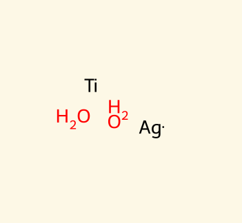 O.O.[Ag].[Ti]